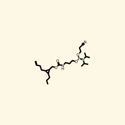 C=CCCC1C(CCC)C1COC(=O)NCCCOP(OCCC#N)N(C(C)C)C(C)C